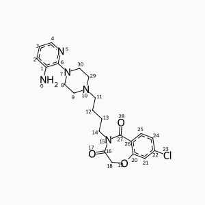 Nc1cccnc1N1CCN(CCCCN2C(=O)COc3cc(Cl)ccc3C2=O)CC1